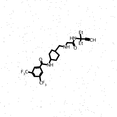 C#CC(CC)(CC)NC(=O)CNCC1CCC(NC(=O)c2cc(C(F)(F)F)cc(C(F)(F)F)c2)CC1